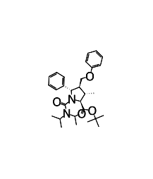 CC(C)N(C(=O)N1[C@H](C(=O)OC(C)(C)C)[C@@H](C)[C@H](COc2ccccc2)[C@H]1c1ccccc1)C(C)C